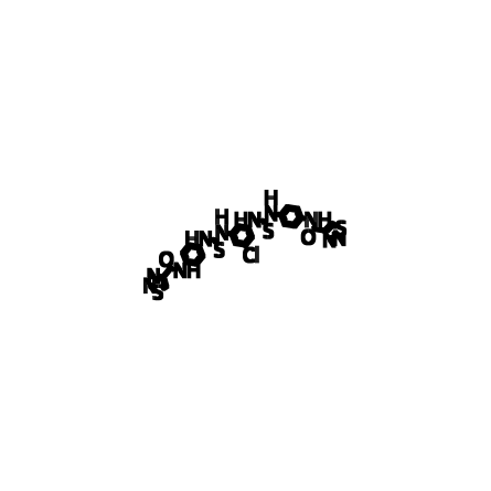 O=C(Nc1ccc(NC(=S)Nc2cc(Cl)cc(NC(=S)Nc3ccc(NC(=O)c4csnn4)cc3)c2)cc1)c1csnn1